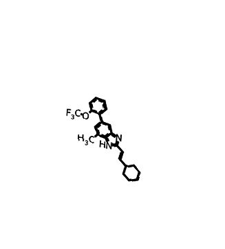 Cc1cc(-c2ccccc2OC(F)(F)F)cc2nc(C=CC3CCCCC3)[nH]c12